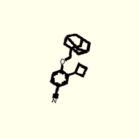 N#Cc1ccc(OCC23CC4CC(CC(C4)C2)C3)c(C2CCC2)c1